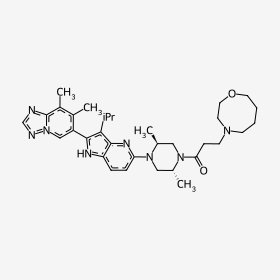 Cc1c(-c2[nH]c3ccc(N4C[C@@H](C)N(C(=O)CCN5CCCCOCC5)C[C@@H]4C)nc3c2C(C)C)cn2ncnc2c1C